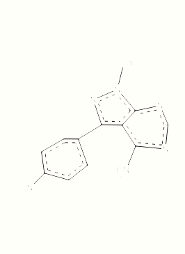 CC(C)n1nc(-c2ccc(N)cc2)c2c(N)ncnc21